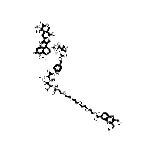 CCC1(O)C(=O)OCc2c1cc1n(c2=O)Cc2c-1nc1cc(F)c(C)c3c1c2[C@H](CNC(=O)C1(NC(=O)OCc2ccc(NC(=O)[C@H](C)NC(=O)[C@@H](NC(=O)CCOCCOCCOCCOCCNC(=O)c4ccc5nc(CBr)c(CBr)nc5c4)C(C)C)cc2)COC1)CC3